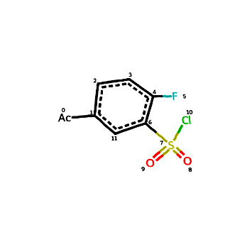 CC(=O)c1ccc(F)c(S(=O)(=O)Cl)c1